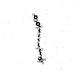 O=C(CCCC[C@H]1SCC2NC(=O)NC21)NCCCOCCOCCOCCCNC(=O)c1ccc(C2=Nc3ccc(Cl)cc3OC2)cc1